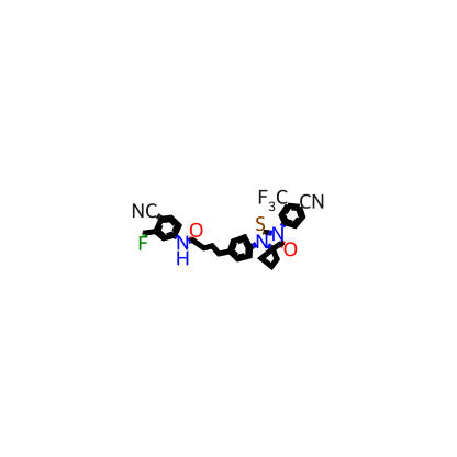 N#Cc1ccc(NC(=O)CCCc2ccc(N3C(=S)N(c4ccc(C#N)c(C(F)(F)F)c4)C(=O)C34CCC4)cc2)cc1CF